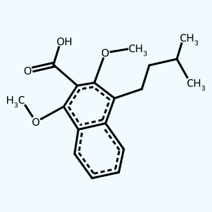 COc1c(C(=O)O)c(OC)c2ccccc2c1CCC(C)C